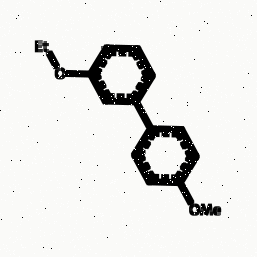 CCOc1[c]ccc(-c2ccc(OC)cc2)c1